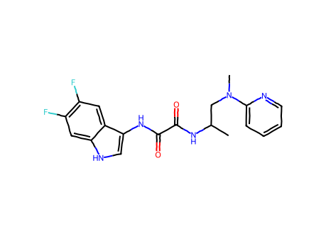 CC(CN(C)c1ccccn1)NC(=O)C(=O)Nc1c[nH]c2cc(F)c(F)cc12